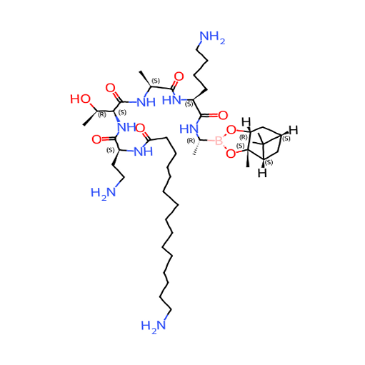 C[C@H](NC(=O)[C@H](CCCCN)NC(=O)[C@H](C)NC(=O)[C@@H](NC(=O)[C@H](CCN)NC(=O)CCCCCCCCCCCCCCN)[C@@H](C)O)B1O[C@@H]2C[C@@H]3C[C@@H](C3(C)C)[C@]2(C)O1